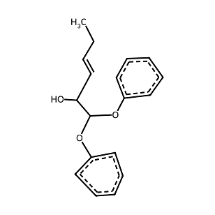 CCC=CC(O)C(Oc1ccccc1)Oc1ccccc1